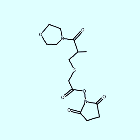 CC(CSCC(=O)ON1C(=O)CCC1=O)C(=O)N1CCOCC1